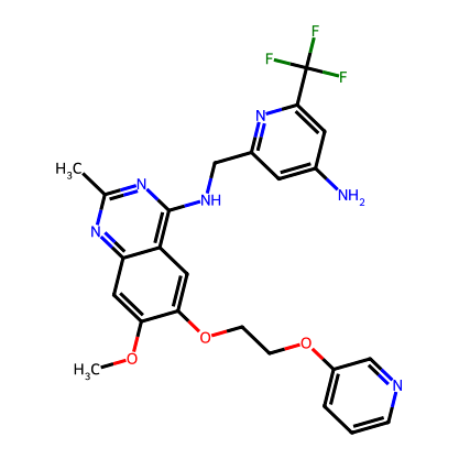 COc1cc2nc(C)nc(NCc3cc(N)cc(C(F)(F)F)n3)c2cc1OCCOc1cccnc1